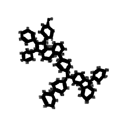 Fc1ccc(-n2c(-c3ccccc3)c(-c3ccccc3)c3ccc4c(-c5ccc(N(c6ccc(-c7ccccc7)cc6)c6ccc7c(c6)c6ccccc6n7-c6ccccc6)cc5)cccc4c32)cc1